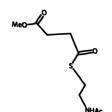 COC(=O)CCC(=O)SCCNC(C)=O